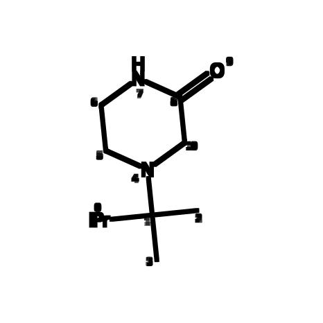 CC(C)C(C)(C)N1CCNC(=O)C1